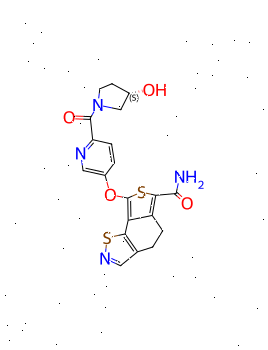 NC(=O)c1sc(Oc2ccc(C(=O)N3CC[C@H](O)C3)nc2)c2c1CCc1cnsc1-2